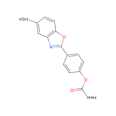 CCCCCCCCc1ccc2oc(-c3ccc(OC(=O)CCCCCC)cc3)nc2c1